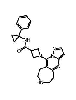 O=C(NC1(c2ccccc2)CC1)C1CN(c2c3c(nc4ccnn24)CCNCC3)C1